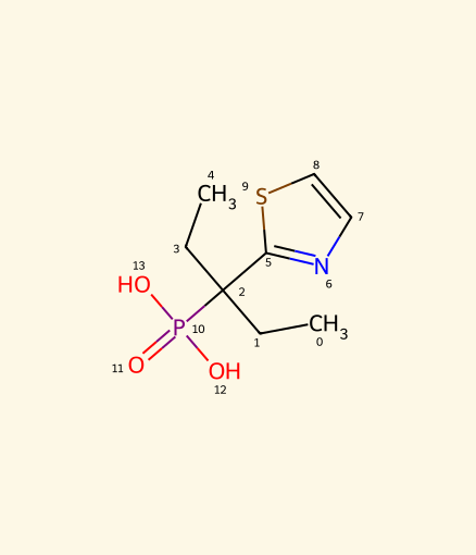 CCC(CC)(c1nccs1)P(=O)(O)O